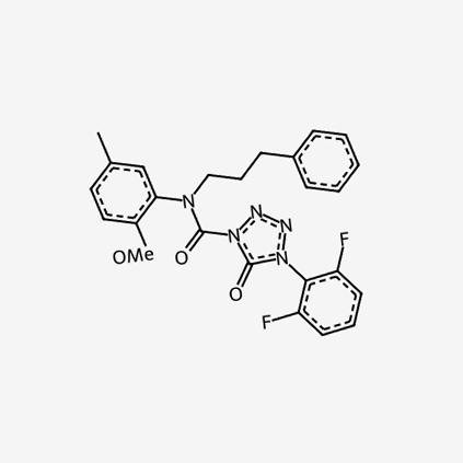 COc1ccc(C)cc1N(CCCc1ccccc1)C(=O)n1nnn(-c2c(F)cccc2F)c1=O